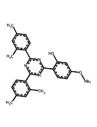 CCCCOc1ccc(-c2nc(-c3ccc(C)cc3C)nc(-c3ccc(C)cc3C)n2)c(O)c1